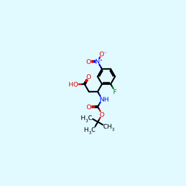 CC(C)(C)OC(=O)NC(CC(=O)O)c1cc([N+](=O)[O-])ccc1F